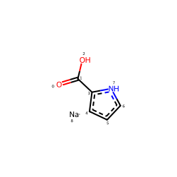 O=C(O)c1ccc[nH]1.[Na]